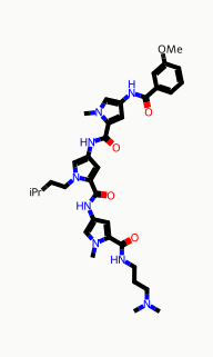 COc1cccc(C(=O)Nc2cc(C(=O)Nc3cc(C(=O)Nc4cc(C(=O)NCCCN(C)C)n(C)c4)n(CCC(C)C)c3)n(C)c2)c1